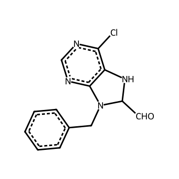 O=CC1Nc2c(Cl)ncnc2N1Cc1ccccc1